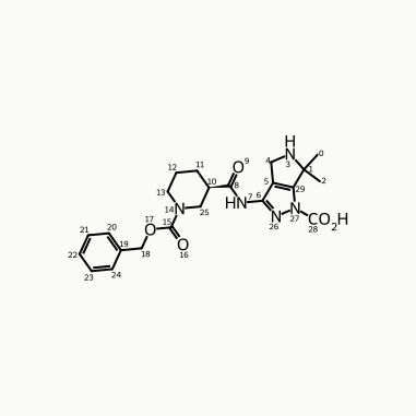 CC1(C)NCc2c(NC(=O)[C@@H]3CCCN(C(=O)OCc4ccccc4)C3)nn(C(=O)O)c21